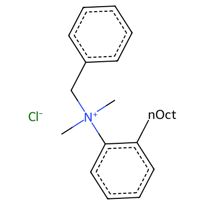 CCCCCCCCc1ccccc1[N+](C)(C)Cc1ccccc1.[Cl-]